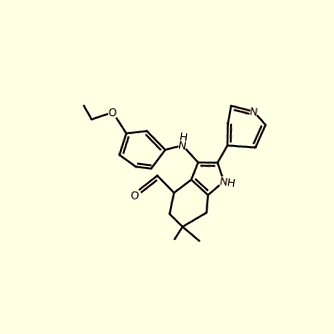 CCOc1cccc(Nc2c(-c3ccncc3)[nH]c3c2C(C=O)CC(C)(C)C3)c1